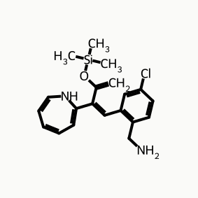 C=C(O[Si](C)(C)C)C(=Cc1cc(Cl)ccc1CN)C1=CC=CC=CN1